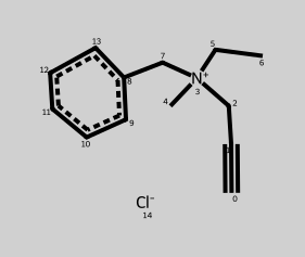 C#CC[N+](C)(CC)Cc1ccccc1.[Cl-]